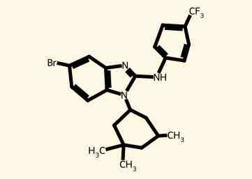 CC1CC(n2c(Nc3ccc(C(F)(F)F)cc3)nc3cc(Br)ccc32)CC(C)(C)C1